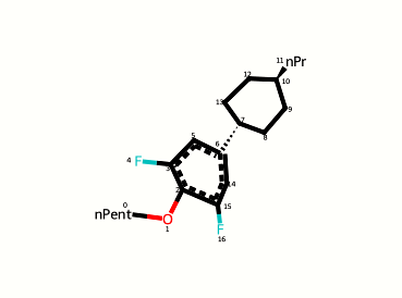 CCCCCOc1c(F)cc([C@H]2CC[C@H](CCC)CC2)cc1F